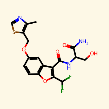 Cc1ncsc1COc1ccc2oc(C(F)F)c(C(=O)NC(CO)C(N)=O)c2c1